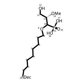 CCCCCCCCCCCCCCCCCCOC([C@H](CO)OC)P(=O)(O)O